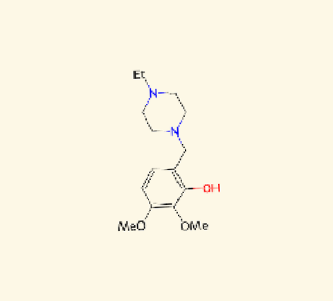 CCN1CCN(Cc2ccc(OC)c(OC)c2O)CC1